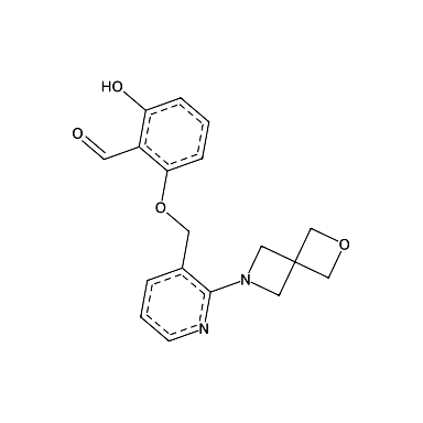 O=Cc1c(O)cccc1OCc1cccnc1N1CC2(COC2)C1